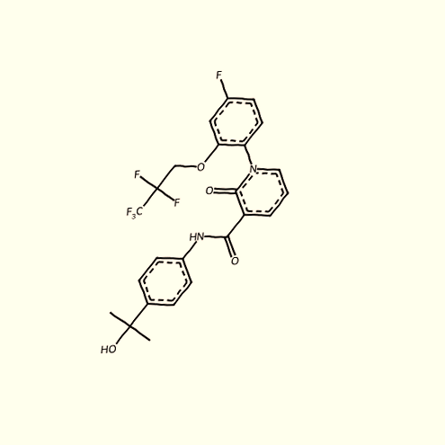 CC(C)(O)c1ccc(NC(=O)c2cccn(-c3ccc(F)cc3OCC(F)(F)C(F)(F)F)c2=O)cc1